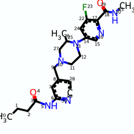 CCCC(=O)Nc1cc(CN2CCN(c3cnc(C(=O)NC)c(F)c3)C(C)C2)ccn1